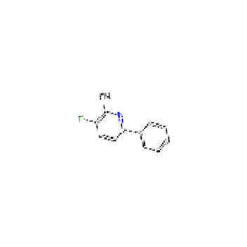 N#Cc1nc(-c2ccccc2)ccc1F